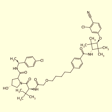 C[C@H](NC(=O)C1C[C@@H](O)CN1C(=O)[C@@H](NC(=O)COCCCCCc1ccc(C(=O)N[C@H]2C(C)(C)[C@H](Oc3ccc(C#N)c(Cl)c3)C2(C)C)cc1)C(C)(C)C)c1ccc(Cl)cc1